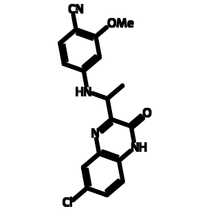 COc1cc(NC(C)c2nc3cc(Cl)ccc3[nH]c2=O)ccc1C#N